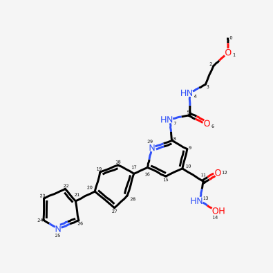 COCCNC(=O)Nc1cc(C(=O)NO)cc(-c2ccc(-c3cccnc3)cc2)n1